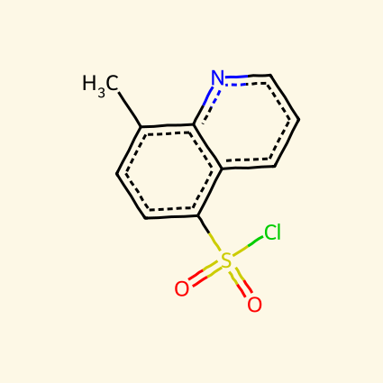 Cc1ccc(S(=O)(=O)Cl)c2cccnc12